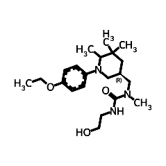 CCOc1ccc(N2C[C@H](CN(C)C(=O)NCCO)CC(C)(C)C2C)cc1